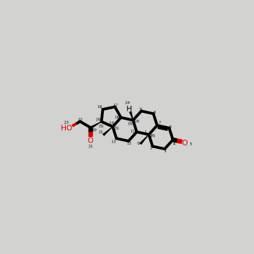 C[C@]12CCC(=O)C=C1CC[C@@H]1C2CC[C@@]2(C)C1CC[C@@H]2C(=O)CO